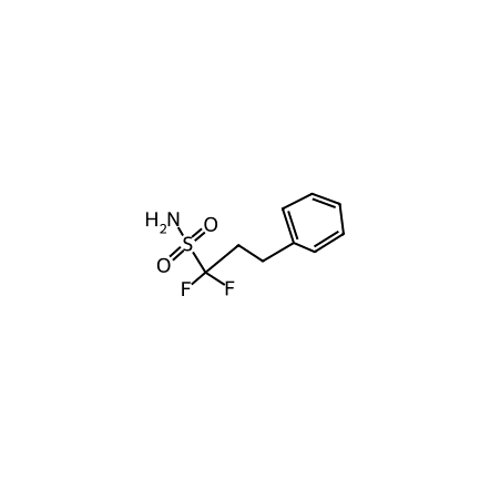 NS(=O)(=O)C(F)(F)CCc1ccccc1